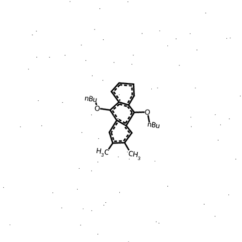 CCCCOc1c2ccccc2c(OCCCC)c2cc(C)c(C)cc12